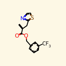 C=C(Cc1nccs1)C(=O)OCc1cccc(C(F)(F)F)c1